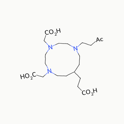 CC(=O)CCN1CCC(CCC(=O)O)CCN(CC(=O)O)CCN(CC(=O)O)CC1